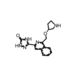 O=c1[nH]nc(-c2cc3ccccc3c(CO[C@H]3CCNC3)n2)[nH]1